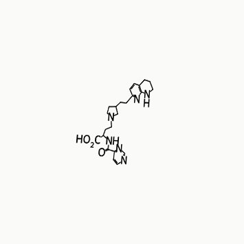 O=C(NC(CCN1CCC(CCc2ccc3c(n2)NCCC3)C1)C(=O)O)c1ccncn1